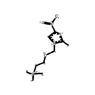 Cc1nc([N+](=O)[O-])cn1COCC[Si](C)(C)C